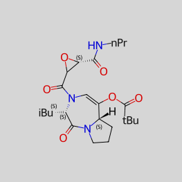 CCCNC(=O)[C@H]1OC1C(=O)N1C=C(OC(=O)C(C)(C)C)[C@@H]2CCCN2C(=O)[C@@H]1[C@@H](C)CC